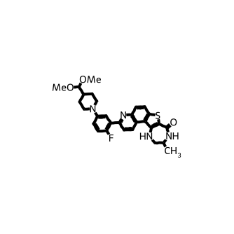 COC(OC)C1CCN(c2ccc(F)c(-c3ccc4c(ccc5sc6c(c54)NCC(C)NC6=O)n3)c2)CC1